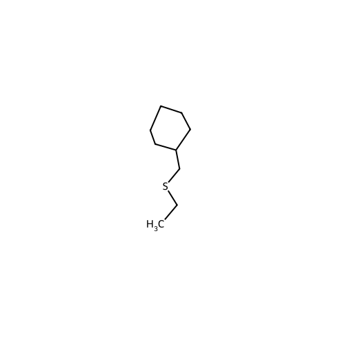 CCSCC1CCCCC1